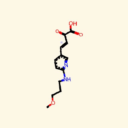 COCCCNc1ccc(/C=C/C(=O)C(=O)O)cn1